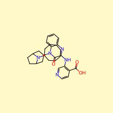 O=C(O)c1ccncc1Nc1nc2ccccc2n(C2CC3CCC(C2)N3C2CCCCCCC2)c1=O